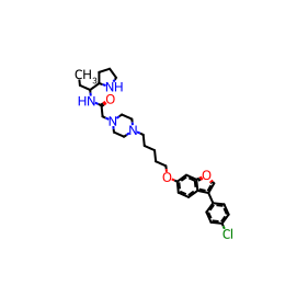 CCC(NC(=O)CN1CCN(CCCCCOc2ccc3c(-c4ccc(Cl)cc4)coc3c2)CC1)C1CCCN1